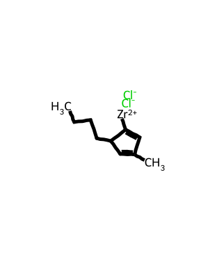 CCCCC1C=C(C)C=[C]1[Zr+2].[Cl-].[Cl-]